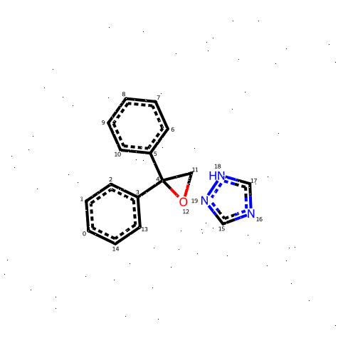 c1ccc(C2(c3ccccc3)CO2)cc1.c1nc[nH]n1